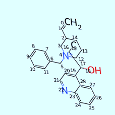 C=CC1C[N+]2(Cc3ccccc3)CCC1CC2C(O)c1ccnc2ccccc12